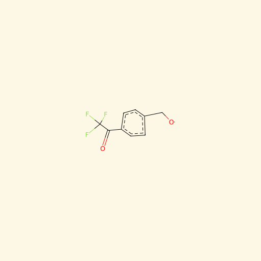 [O]Cc1ccc(C(=O)C(F)(F)F)cc1